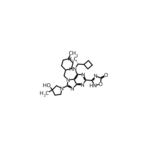 CC1CCC(Cn2c(N3CCC(C)(O)C3)nc3nc(-c4nc(=O)o[nH]4)nc(N[C@H](C)C4CCC4)c32)CC1